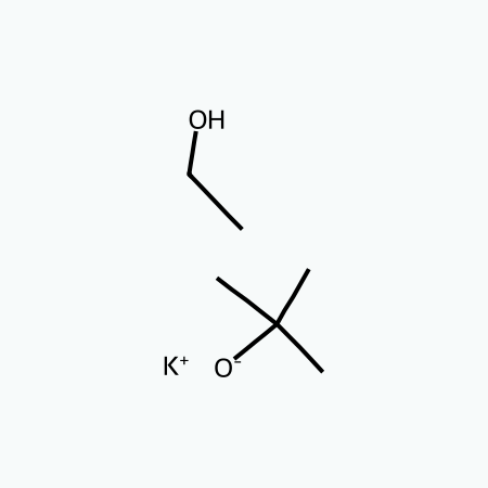 CC(C)(C)[O-].CCO.[K+]